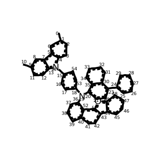 Cc1ccc2c(c1)c1cc(C)ccc1n2-c1ccc(N(c2ccc(-c3ccccc3)c3ccccc23)c2cccc3ccc4c5ccccc5oc4c23)cc1